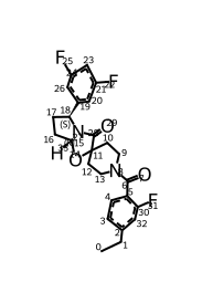 CCc1ccc(C(=O)N2CCC3(CC2)O[C@@H]2CC[C@@H](c4cc(F)cc(F)c4)N2C3=O)c(F)c1